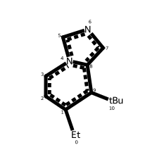 CCc1ccn2cncc2c1C(C)(C)C